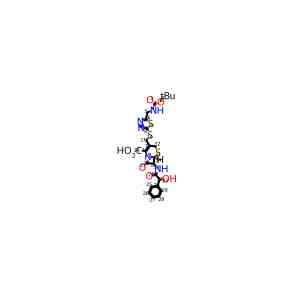 CC(C)(C)OC(=O)NCc1nnc(SCC2=C(C(=O)O)N3C(=O)C(NC(=O)C(O)c4ccccc4)[C@@H]3SC2)s1